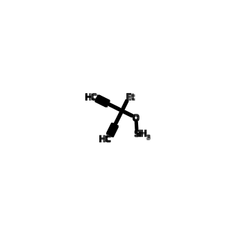 C#CC(C#C)(CC)O[SiH3]